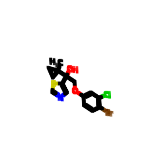 CC1(C(O)(COc2ccc(Br)c(Cl)c2)c2cncs2)CC1